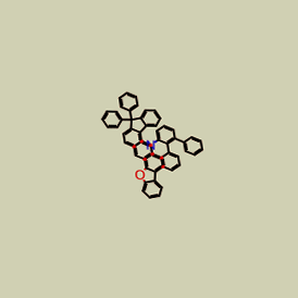 c1ccc(-c2ccccc2-c2c(-c3ccccc3)cccc2N(c2ccc3c(c2)oc2ccccc23)c2cccc3c2-c2ccccc2C3(c2ccccc2)c2ccccc2)cc1